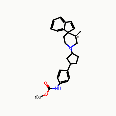 C[C@H]1CN(C2CCC(c3ccc(NC(=O)OC(C)(C)C)cc3)C2)CCC12C=Cc1ccccc12